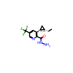 CC[C@H]1C[C@@H]1c1cc(C(F)(F)F)cnc1C(=O)NN